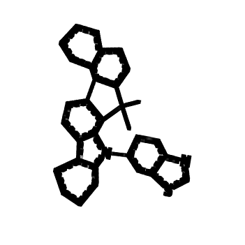 CC1(C)c2ccc3ccccc3c2-c2ccc3c4ccccc4n(-c4ccc5ncsc5c4)c3c21